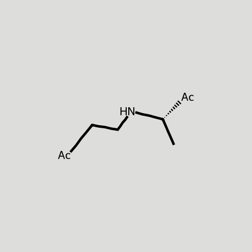 CC(=O)CCN[C@@H](C)C(C)=O